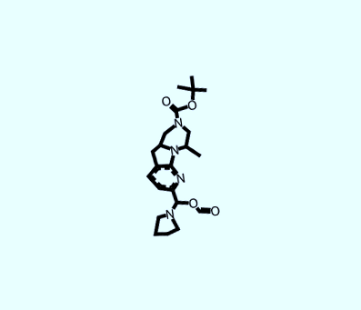 CC1CN(C(=O)OC(C)(C)C)CC2Cc3ccc(C(OC=O)N4CCCC4)nc3N12